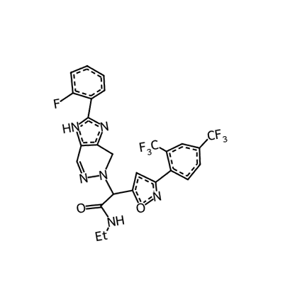 CCNC(=O)C(c1cc(-c2ccc(C(F)(F)F)cc2C(F)(F)F)no1)N1Cc2nc(-c3ccccc3F)[nH]c2C=N1